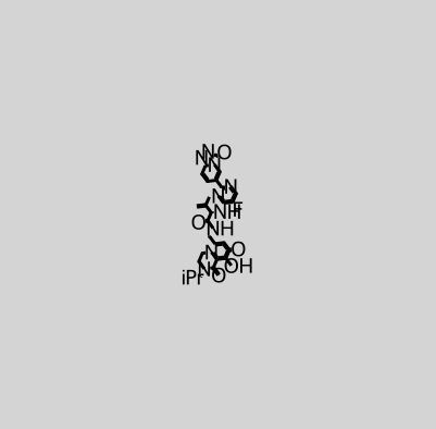 C=C(C)[C@H](Nc1nc(C2=CN3C(=O)N=NC3C=C2)ncc1F)C(=O)NCc1cc(=O)c(O)c2n1CCN(C(C)C)C2=O